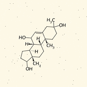 CC1(O)CC[C@@]2(C)C(=CC(O)[C@@H]3[C@H]2CC[C@]2(C)C(O)CC[C@@H]32)C1